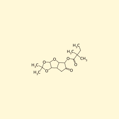 CCC(C)(C)C(=O)OC1C(=O)CC2C3OC(C)(C)OC3OC12